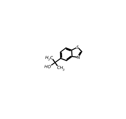 CC(C)(O)c1ccc2scnc2c1